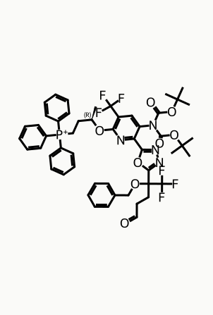 C[C@H](CC[P+](c1ccccc1)(c1ccccc1)c1ccccc1)Oc1nc(-c2nnc(C(CCC=O)(OCc3ccccc3)C(F)(F)F)o2)c(N(C(=O)OC(C)(C)C)C(=O)OC(C)(C)C)cc1C(F)(F)F